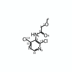 COCC(=O)Nc1c(Cl)ncnc1Cl